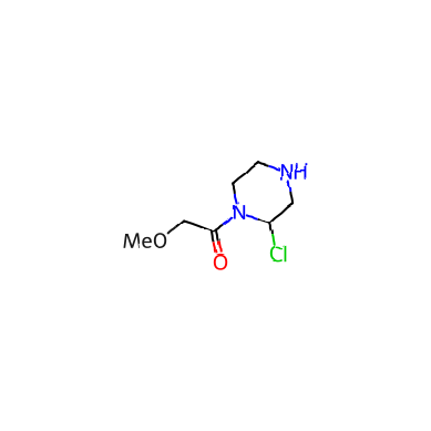 COCC(=O)N1CCNCC1Cl